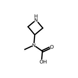 CN(C(=O)O)C1CNC1